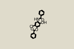 O=C(Nc1cc(Cl)c(OC(=O)c2ccccc2)cc1O)c1ccccc1